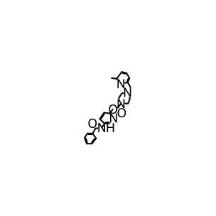 Cc1cccc(CN2CCN(C(=O)Oc3ccc(NC(=O)c4ccccc4)cn3)CC2)n1